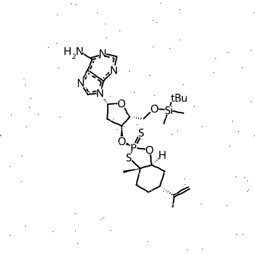 C=C(C)[C@@H]1CC[C@]2(C)S[P@@](=S)(O[C@H]3C[C@H](n4cnc5c(N)ncnc54)O[C@@H]3CO[Si](C)(C)C(C)(C)C)O[C@H]2C1